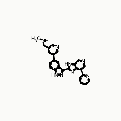 CNCc1cncc(-c2ccc3[nH]nc(-c4nc5c(-c6ccccn6)cncc5[nH]4)c3c2)c1